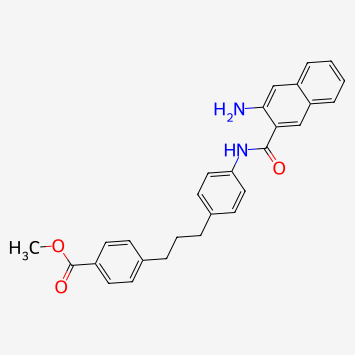 COC(=O)c1ccc(CCCc2ccc(NC(=O)c3cc4ccccc4cc3N)cc2)cc1